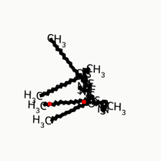 CCCCCCCCCCCCCCCCCCC1(CCCCCCCCCCCCCCCCCC)Oc2cc(C)sc2-c2sc(-c3c(F)c(F)c(-c4cc5c(s4)-c4sc(-c6ccc(C)c7nsnc67)cc4OC5(CCCCCCCCCCCCCCCCCC)CCCCCCCCCCCCCCCCCC)c4nsnc34)cc21